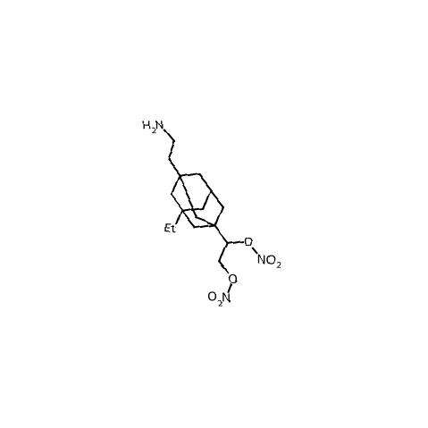 CCC12CC3CC(CCN)(C1)CC(C(CO[N+](=O)[O-])O[N+](=O)[O-])(C3)C2